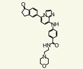 O=C(NCCN1CCOCC1)c1ccc(Nc2ccc(-c3ccc4c(c3)CCC4=O)n3ccnc23)cc1